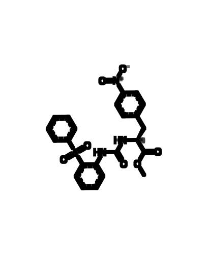 COC(=O)[C@H](Cc1ccc([N+](=O)[O-])cc1)NC(=O)Nc1ccccc1S(=O)(=O)c1ccccc1